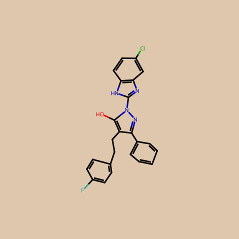 Oc1c(CCc2ccc(F)cc2)c(-c2ccccc2)nn1-c1nc2cc(Cl)ccc2[nH]1